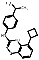 CC(C)c1ccc(NC2=NSc3cccc(C4CCC4)c3N2)cc1